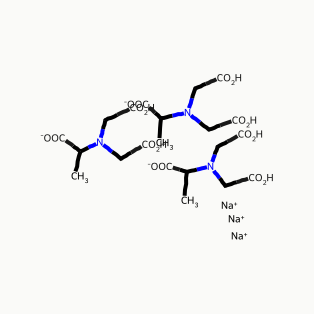 CC(C(=O)[O-])N(CC(=O)O)CC(=O)O.CC(C(=O)[O-])N(CC(=O)O)CC(=O)O.CC(C(=O)[O-])N(CC(=O)O)CC(=O)O.[Na+].[Na+].[Na+]